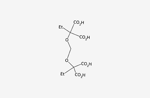 CCC(OCOC(CC)(C(=O)O)C(=O)O)(C(=O)O)C(=O)O